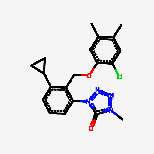 Cc1cc(Cl)c(OCc2c(C3CC3)cccc2-n2nnn(C)c2=O)cc1C